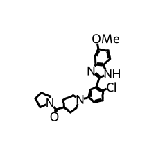 COc1ccc2[nH]c(-c3cc(N4CCC(C(=O)N5CCCC5)CC4)ccc3Cl)nc2c1